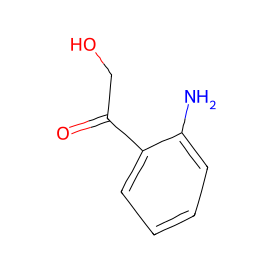 Nc1ccccc1C(=O)CO